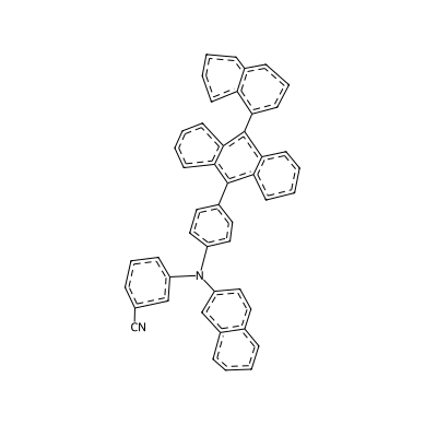 N#Cc1cccc(N(c2ccc(-c3c4ccccc4c(-c4cccc5ccccc45)c4ccccc34)cc2)c2ccc3ccccc3c2)c1